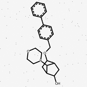 OC1CC2C(OCc3ccc(-c4ccccc4)cc3)CC1C2N1CCOCC1